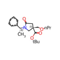 CCCOC[C@]1(C(=O)OC(C)(C)C)CC(=O)N([C@H](C)c2ccccc2)C1